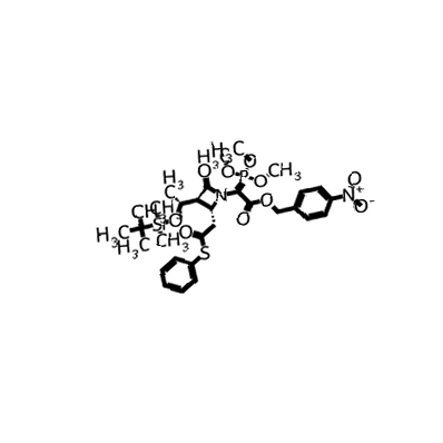 COP(OC)(OC)=C(C(=O)OCc1ccc([N+](=O)[O-])cc1)N1C(=O)[C@H]([C@@H](C)O[Si](C)(C)C(C)(C)C)[C@H]1CC(=O)Sc1ccccc1